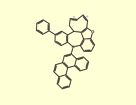 C1=C\c2oc3cccc4c3c2C(C/C=C/1)c1cc(-c2ccccc2)ccc1N4c1cc2ccc3ccccc3c2c2ccccc12